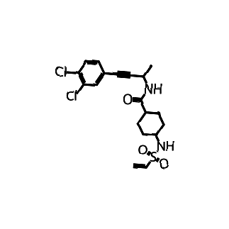 C=CS(=O)(=O)NC1CCC(C(=O)NC(C)C#Cc2ccc(Cl)c(Cl)c2)CC1